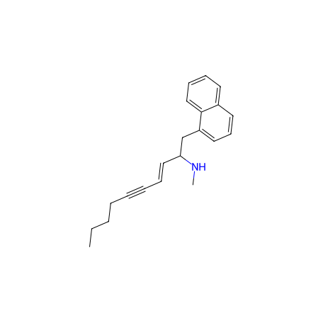 CCCCC#C/C=C/C(Cc1cccc2ccccc12)NC